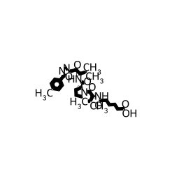 Cc1ccc(-c2nnc(C(=O)[C@@H](NC(=O)[C@@H]3CCCN3C(=O)[C@@H](NC(=O)CCCCC(=O)O)C(C)C)C(C)C)o2)cc1